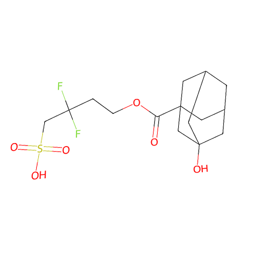 O=C(OCCC(F)(F)CS(=O)(=O)O)C12CC3CC(CC(O)(C3)C1)C2